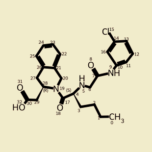 CCCC[C@H](NCC(=O)Nc1cccc(Cl)c1)C(=O)N1Cc2ccccc2C[C@@H]1CC(=O)O